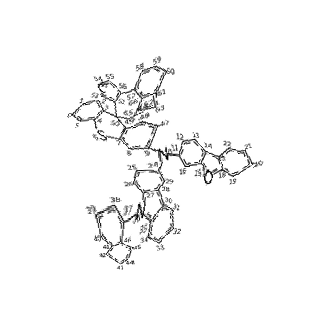 c1ccc2c(c1)Sc1cc(N(c3ccc4c(c3)oc3ccccc34)c3ccc4c(c3)c3ccccc3n4-c3cccc4ccccc34)ccc1C21c2ccccc2-c2cccc3cccc1c23